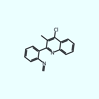 C=Nc1ccccc1-c1nc2ccccc2c(Cl)c1C